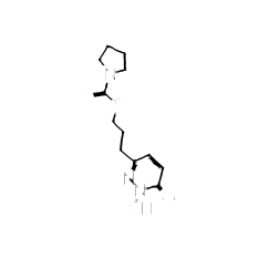 Cn1nc(CCCSC(=S)N2CCCC2)ccc1=O